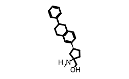 N[C@]1(CO)CC[C@H](c2ccc3c(c2)CCC(c2ccccc2)C3)C1